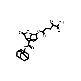 O=C(CCC(=O)C(=O)O)OC1C2CC3C1OC(=O)C3C2C(=O)OC12CC3CC(CC(C3)C1)C2